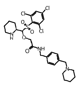 O=C(COC(C1CCCCN1)S(=O)(=O)c1c(Cl)cc(Cl)cc1Cl)NCc1ccc(CN2CCCCC2)cc1